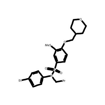 CCc1ccc(N(CC(C)C)S(=O)(=O)c2ccc(OCC3CCOCC3)c(SC)c2)cc1